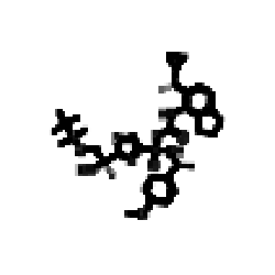 COc1ccc([C@H](C)NS(=O)(=NC(=O)Nc2c([C@H](C)C3CC3)ccc3c2CCC3)c2cnc([C@@](C)(O)CO[Si](C)(C)C(C)(C)C)s2)cc1